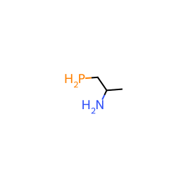 CC(N)CP